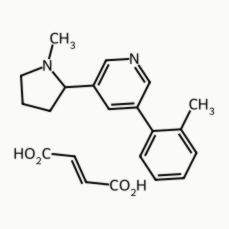 Cc1ccccc1-c1cncc(C2CCCN2C)c1.O=C(O)C=CC(=O)O